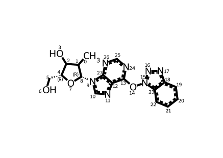 CC1C(O)[C@@H](CO)O[C@H]1n1cnc2c(On3nnc4ccccc43)ncnc21